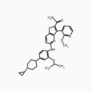 COc1ncccc1-c1c(C(N)=O)sc2cnc(Nc3ccc(C4CCN(C5CC5)CC4)cc3OC(C)C)nc12